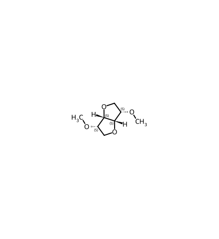 CO[C@H]1CO[C@@H]2[C@H]1OC[C@@H]2OC